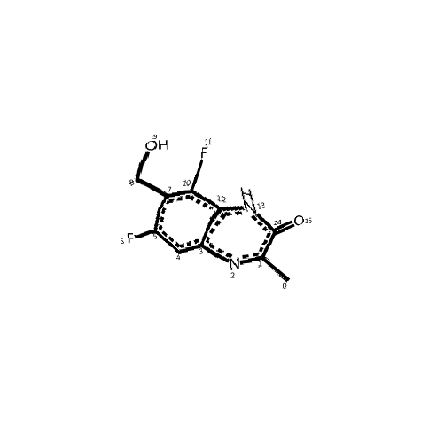 Cc1nc2cc(F)c(CO)c(F)c2[nH]c1=O